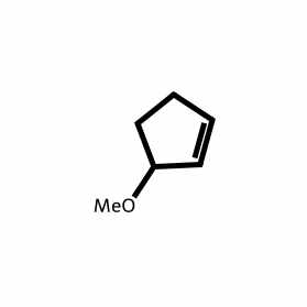 COC1C=CCC1